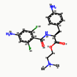 CCN(CC)CCOC(=O)[C@H](Cc1ccc(N)cc1)NC(=O)c1c(F)cc(N)cc1F